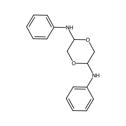 c1ccc(NC2COC(Nc3ccccc3)CO2)cc1